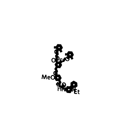 CCn1c2ccccc2c2cc(NC(=O)CN(C)Cc3ccc(OCCc4ccc(SCCOc5c(C)cccc5C)c(C(=O)OCCOc5c(C)cccc5C)c4)c(OC)c3)ccc21